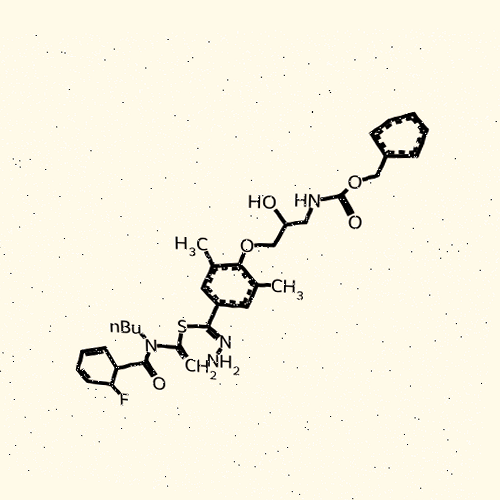 C=C(S/C(=N\N)c1cc(C)c(OCC(O)CNC(=O)OCc2ccccc2)c(C)c1)N(CCCC)C(=O)C1C=CC=CC1F